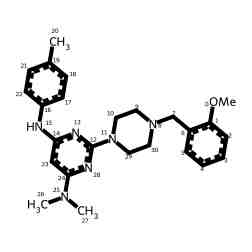 COc1ccccc1CN1CCN(c2nc(Nc3ccc(C)cc3)cc(N(C)C)n2)CC1